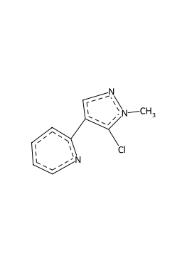 Cn1ncc(-c2ccccn2)c1Cl